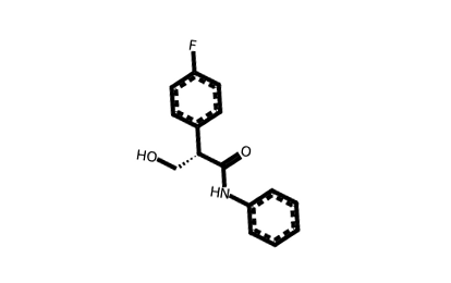 O=C(Nc1ccccc1)[C@H](CO)c1ccc(F)cc1